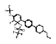 CCCC1CC=C(c2ccc(C3=CC=C(OC(F)(F)F)C(F)C3(F)OS(=O)(=O)C(F)(F)F)cc2)CC1